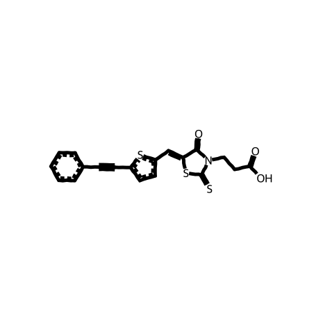 O=C(O)CCN1C(=O)C(=Cc2ccc(C#Cc3ccccc3)s2)SC1=S